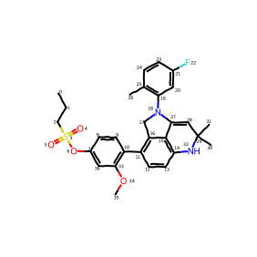 CCCS(=O)(=O)Oc1ccc(-c2ccc3c4c2CN(c2cc(F)ccc2C)C4=CC(C)(C)N3)c(OC)c1